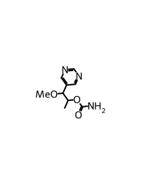 COC(c1cncnc1)C(C)OC(N)=O